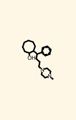 CN1CCN(CCCC(c2ccccc2)C2CCCCCCC2O)CC1